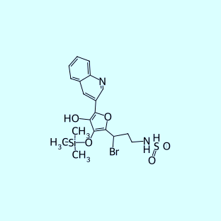 C[Si](C)(C)Oc1c(C(Br)CCN[SH](=O)=O)oc(-c2cnc3ccccc3c2)c1O